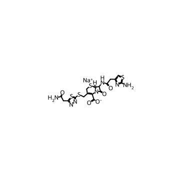 NC(=O)Cc1nnc(SCC2=C(C(=O)[O-])N3C(=O)C(NC(=O)Cc4csc(N)n4)[C@H]3SC2)s1.[Na+]